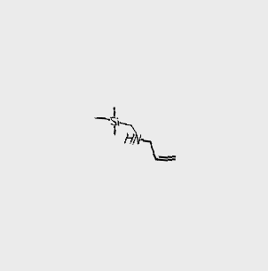 C=CCNC[Si](C)(C)C